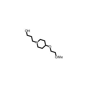 COCCOC1CCN(CCCO)CC1